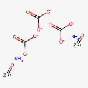 O=C([O-])[O-].O=C([O-])[O-].O=C([O-])[O-].[NH4+].[NH4+].[O]=[Zr+2].[O]=[Zr+2]